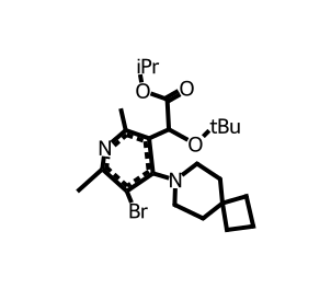 Cc1nc(C)c(C(OC(C)(C)C)C(=O)OC(C)C)c(N2CCC3(CCC3)CC2)c1Br